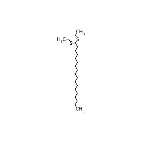 CCCCCCCCCCCCCCCCCC(SCC)SCC